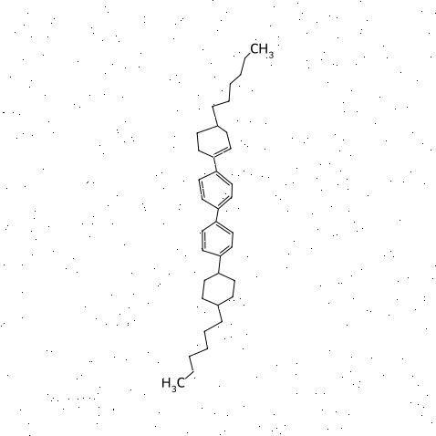 CCCCCCC1CC=C(c2ccc(-c3ccc(C4CCC(CCCCCC)CC4)cc3)cc2)CC1